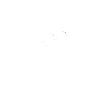 CCCCC(CC)C(=O)[O-].CCCCC(CC)C(=O)[O-].CCCCC(CC)C(=O)[O-].[Fe+3]